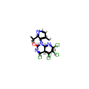 Cc1ccnc(C(C)C)c1-n1c(=O)nc(Cl)c2c(Cl)c(Cl)c(Cl)nc21